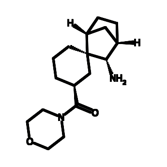 N[C@H]1[C@H]2CC[C@H](C2)[C@@]12CCC[C@H](C(=O)N1CCOCC1)C2